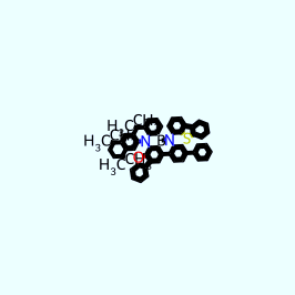 CC1(C)CCC(C)(C)c2cc3c(cc21)N1c2c(cccc2C3(C)C)B2c3c(cc4c(oc5ccccc54)c31)-c1ccc(-c3ccccc3)cc1N2c1cccc2c1sc1ccccc12